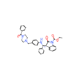 CCOC(=O)N1C(=O)/C(=C(\Nc2ccc(CN3CCN(C(=O)c4ccccc4)CC3)cc2)c2ccccc2)c2ccccc21